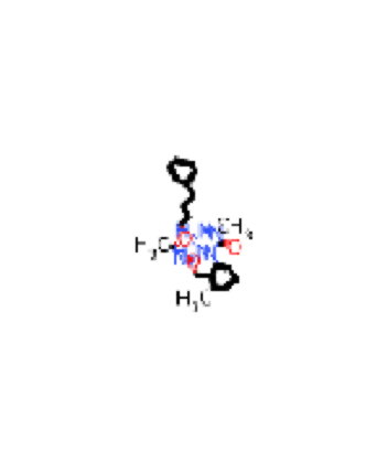 CC(=NOCc1c(C)cccc1N(N)C(=O)N(C)N)OCCCCc1ccccc1